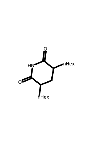 CCCCCCC1CC(CCCCCC)C(=O)NC1=O